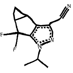 CC(C)n1nc(C#N)c2c1C(F)(F)C1CC21